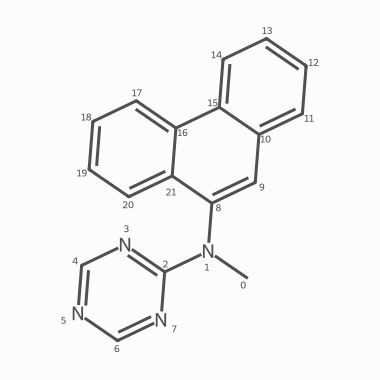 CN(c1ncncn1)c1cc2ccccc2c2ccccc12